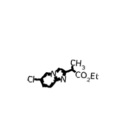 CCOC(=O)C(C)c1cn2cc(Cl)ccc2n1